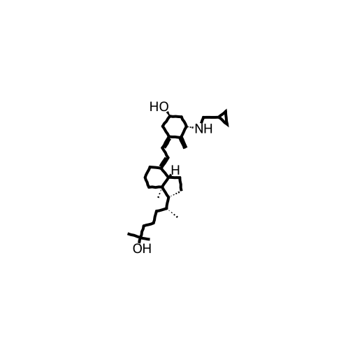 C=C1/C(=C\C=C2/CCC[C@]3(C)[C@@H]([C@H](C)CCCC(C)(C)O)CC[C@@H]23)C[C@@H](O)C[C@@H]1NCC1CC1